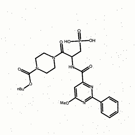 CCCCOC(=O)N1CCN(C(=O)C(CP(=O)(O)O)NC(=O)c2cc(OC)nc(-c3ccccc3)n2)CC1